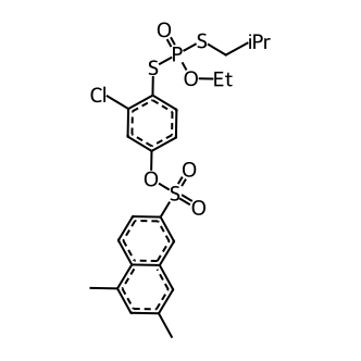 CCOP(=O)(SCC(C)C)Sc1ccc(OS(=O)(=O)c2ccc3c(C)cc(C)cc3c2)cc1Cl